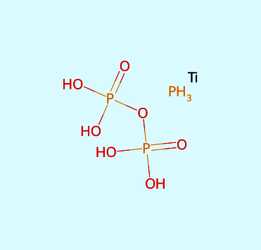 O=P(O)(O)OP(=O)(O)O.P.[Ti]